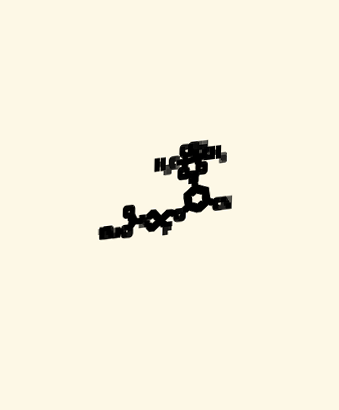 CC(C)(C)OC(=O)N1CC(F)(COc2cc(C#N)cc(B3OC(C)(C)C(C)(C)O3)c2)C1